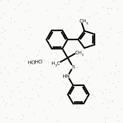 CC1=C(c2ccccc2[C](C)(C)[Ti][NH]c2ccccc2)CC=C1.Cl.Cl